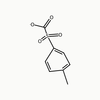 Cc1ccc(S(=O)(=O)C([O])=O)cc1